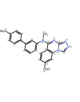 COc1ccc(-c2cccc(N(C)c3nc4nncn4c4cc(C=O)ccc34)c2)cc1